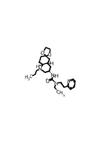 CCCN1C[C@@H](NC(=O)N(CC)CCc2ccccn2)C[C@@H]2CC3(CC[C@H]21)OCCO3